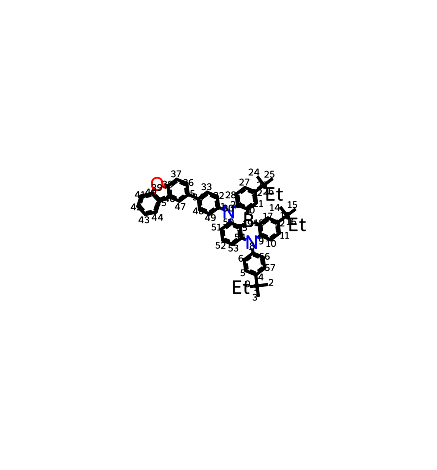 CCC(C)(C)c1ccc(N2c3ccc(C(C)(C)CC)cc3B3c4cc(C(C)(C)CC)ccc4N(c4ccc(-c5ccc6oc7ccccc7c6c5)cc4)c4cccc2c43)cc1